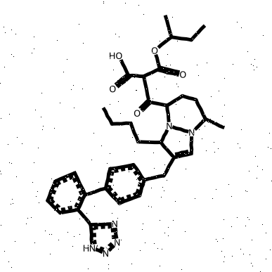 CCCCC1C(Cc2ccc(-c3ccccc3-c3nnn[nH]3)cc2)=CN2C(C)CCC(C(=O)C(C(=O)O)C(=O)OC(C)CC)N12